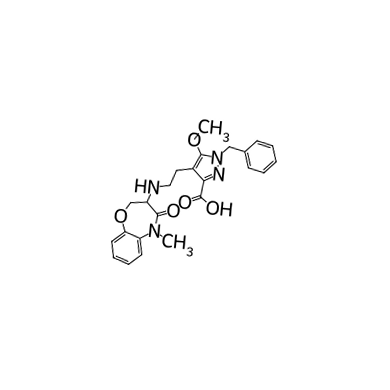 COc1c(CCNC2COc3ccccc3N(C)C2=O)c(C(=O)O)nn1Cc1ccccc1